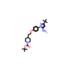 CC(C)(C)OC(=O)N1CCC(CCOc2ccc(-n3nc(C(C)(C)C)cc3N)cc2)CC1